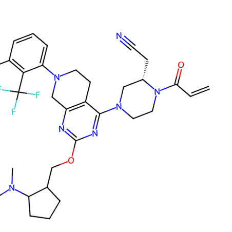 C=CC(=O)N1CCN(c2nc(OCC3CCCC3N(C)C)nc3c2CCN(c2cccc(C)c2C(F)(F)F)C3)C[C@@H]1CC#N